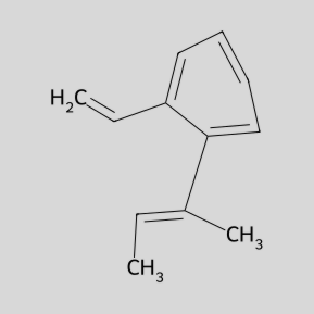 C=Cc1ccccc1C(C)=CC